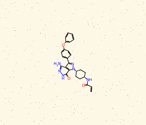 C=CC(=O)N[C@H]1CC[C@@H](n2nc(-c3ccc(Oc4ccccc4)cc3)c3c(N)n[nH]c(=O)c32)CC1